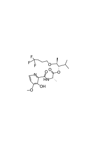 COc1ccnc(C(=O)N[C@@H](C)C(=O)O[C@@H](C(C)C)[C@H](C)OCCCC(F)(F)F)c1O